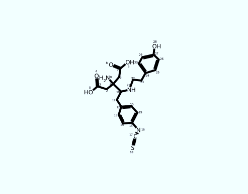 NC(CC(=O)O)(CC(=O)O)C(Cc1ccc(N=C=S)cc1)NCCc1ccc(O)cc1